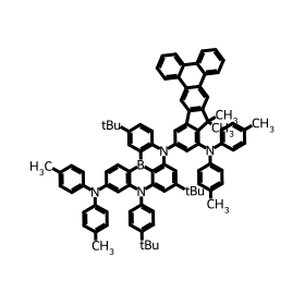 Cc1ccc(N(c2ccc(C)cc2)c2ccc3c(c2)N(c2ccc(C(C)(C)C)cc2)c2cc(C(C)(C)C)cc4c2B3c2cc(C(C)(C)C)ccc2N4c2cc3c(c(N(c4ccc(C)cc4)c4ccc(C)cc4)c2)C(C)(C)c2cc4c5ccccc5c5ccccc5c4cc2-3)cc1